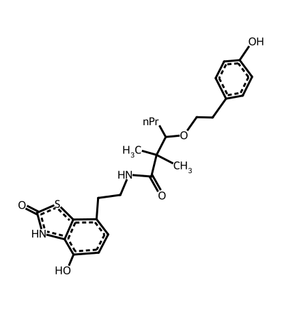 CCCC(OCCc1ccc(O)cc1)C(C)(C)C(=O)NCCc1ccc(O)c2[nH]c(=O)sc12